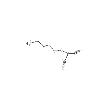 CCCCCOC(C#N)C#N